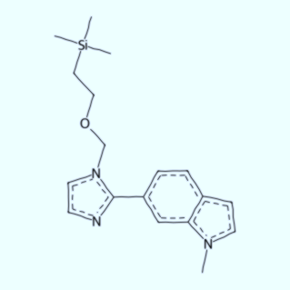 Cn1ccc2ccc(-c3nccn3COCC[Si](C)(C)C)cc21